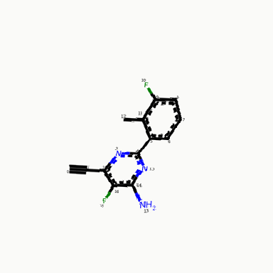 C#Cc1nc(-c2cccc(F)c2C)nc(N)c1F